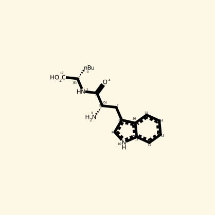 CCCC[C@H](NC(=O)[C@@H](N)Cc1c[nH]c2ccccc12)C(=O)O